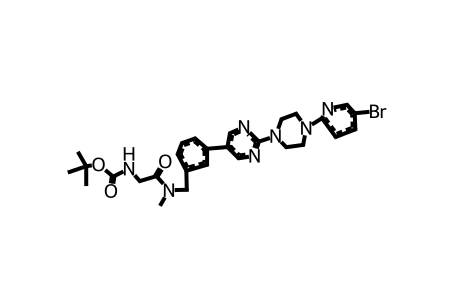 CN(Cc1cccc(-c2cnc(N3CCN(c4ccc(Br)cn4)CC3)nc2)c1)C(=O)CNC(=O)OC(C)(C)C